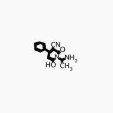 CC(N)n1c(O)cc(-c2ccccc2)c(C#N)c1=O